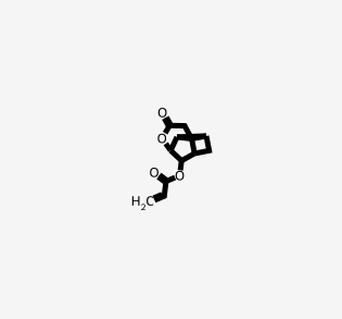 C=CC(=O)OC1C2OC(=O)CC34C1CC3C24